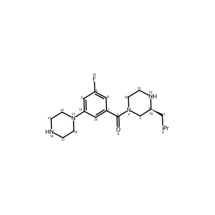 CC(C)C[C@H]1CN(C(=O)c2cc(F)cc(N3CCNCC3)c2)CCN1